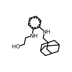 OCCNc1ccccc1NCC12CC3CC(CC(C3)C1)C2